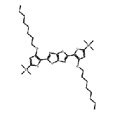 CCCCCCCCOc1c[c]([Sn]([CH3])([CH3])[CH3])sc1-c1nc2sc(-c3s[c]([Sn]([CH3])([CH3])[CH3])cc3OCCCCCCCC)nc2s1